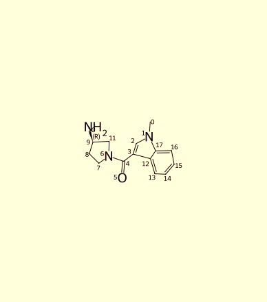 Cn1cc(C(=O)N2CC[C@@H](N)C2)c2ccccc21